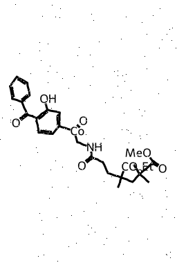 CCOC(=O)C(C)(CCC(=O)N[CH2][Co](=[O])[c]1ccc(C(=O)c2ccccc2)c(O)c1)CC(C)(C)C(=O)OC